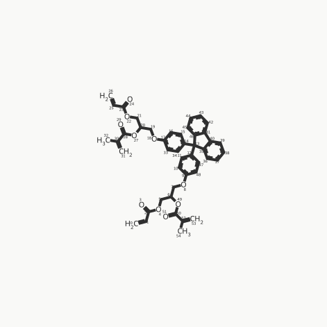 C=CC(=O)OCC(COc1ccc(C2(c3ccc(OCC(COC(=O)C=C)OC(=O)C(=C)C)cc3)c3ccccc3-c3ccccc32)cc1)OC(=O)C(=C)C